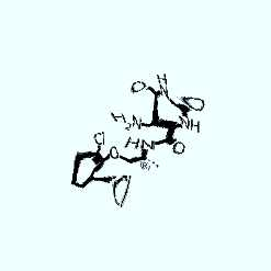 C[C@H](COc1c(Cl)cccc1Cl)NC(=O)c1[nH]c(=O)[nH]c(=O)c1N